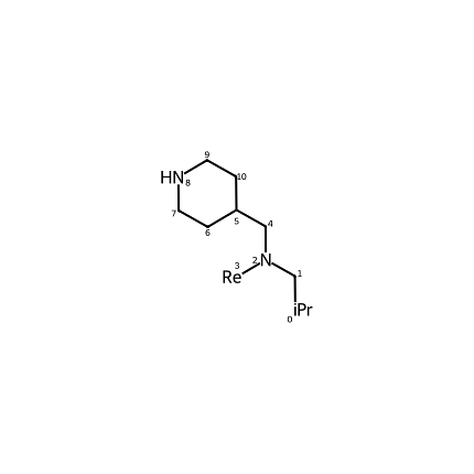 CC(C)C[N]([Re])CC1CCNCC1